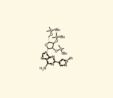 CC(C)n1cc(-c2nc(N)c3ncn([C@@H]4O[C@H](CO[Si](C)(C)C(C)(C)C)[C@@H](O[Si](C)(C)C(C)(C)C)[C@H]4O[Si](C)(C)C(C)(C)C)c3n2)cn1